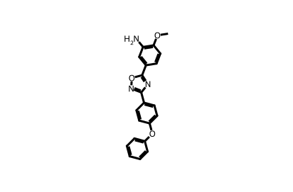 COc1ccc(-c2nc(-c3ccc(Oc4ccccc4)cc3)no2)cc1N